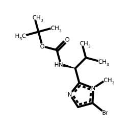 CC(C)[C@H](NC(=O)OC(C)(C)C)c1ncc(Br)n1C